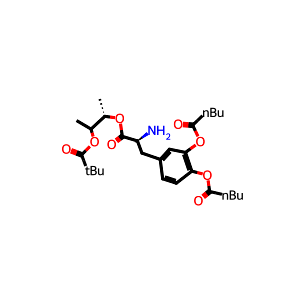 CCCCC(=O)Oc1ccc(C[C@H](N)C(=O)O[C@@H](C)C(C)OC(=O)C(C)(C)C)cc1OC(=O)CCCC